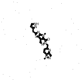 Cn1ncc2nc(Cn3ncc4c5sc(Cc6cc[nH]n6)nc5n(C)c4c3=O)ccc21